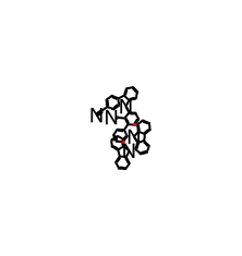 N#Cc1ccc2c3ccccc3n(-c3cccc(-c4ccccc4-n4c5ccccc5c5cccc(-n6c7ccccc7c7ccccc76)c54)c3C#N)c2c1